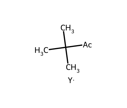 CC(=O)C(C)(C)C.[Y]